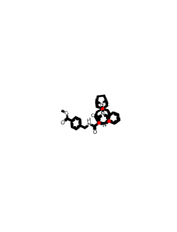 COC(=O)c1ccc(CNC(=O)c2nc3ccccc3n(C3CC4CCC(C3)N4C3CCCCCCC3)c2=O)cc1